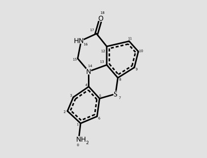 Nc1ccc2c(c1)Sc1cccc3c1N2CNC3=O